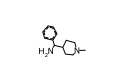 CN1CCC(C(N)c2ccccc2)CC1